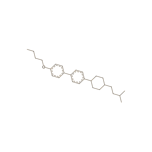 CCCCOc1ccc(-c2ccc(C3CCC(CCC(C)C)CC3)cc2)cc1